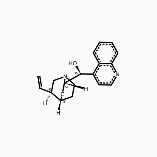 C=C[C@H]1CN2CC[C@H]1C[C@H]2[C@@H](O)c1ccnc2ccccc12